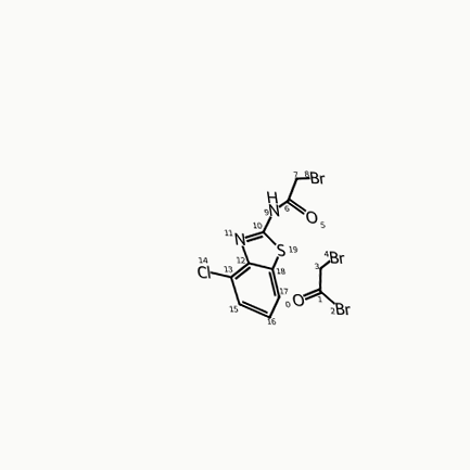 O=C(Br)CBr.O=C(CBr)Nc1nc2c(Cl)cccc2s1